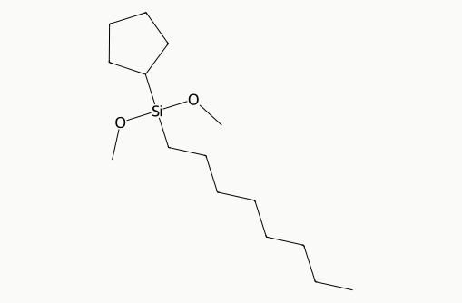 CCCCCCCC[Si](OC)(OC)C1CCCC1